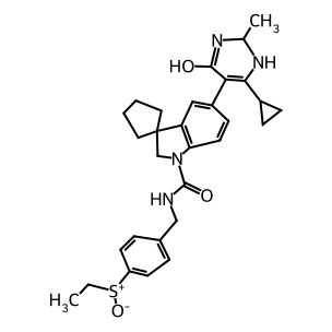 CC[S+]([O-])c1ccc(CNC(=O)N2CC3(CCCC3)c3cc(C4=C(C5CC5)NC(C)N=C4O)ccc32)cc1